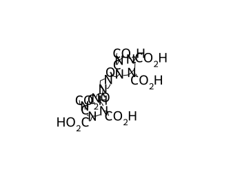 O=C(O)CN1CCN(CC(=O)O)CCN(CC(=O)N2CCCN(C(=O)CN3CCN(CC(=O)O)CCN(CC(=O)O)CCN(CC(=O)O)CC3)CC2)CCN(CC(=O)O)CC1